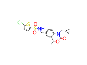 CC1OC(=O)N(CC2CC2)c2ccc(CNS(=O)(=O)c3ccc(Cl)s3)cc21